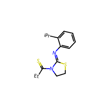 CCC(=S)N1CCSC1=Nc1ccccc1C(C)C